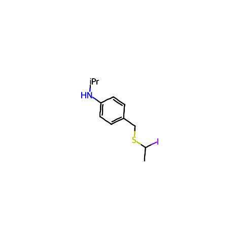 CC(C)Nc1ccc(CSC(C)I)cc1